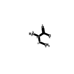 CSN(C)C(=O)Cl